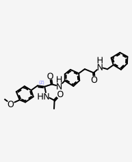 COc1ccc(/C=C(\NC(C)=O)C(=O)Nc2ccc(CC(=O)NCc3ccccc3)cc2)cc1